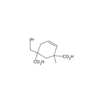 CC(C)CC1(C(=O)O)CC=CC(C)(C(=O)O)C1